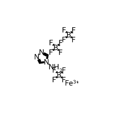 F[B-](F)(F)F.F[B-](F)(F)F.F[B-](F)(F)F.Nn1cnnc1.[Fe+3]